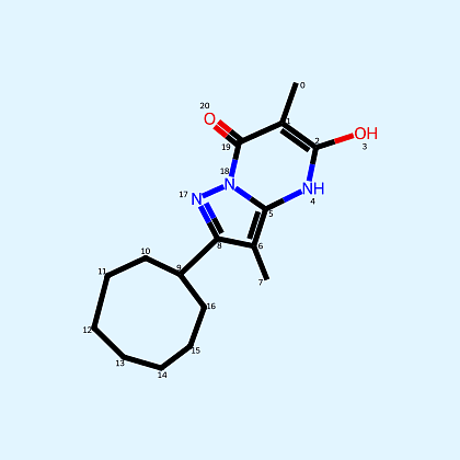 Cc1c(O)[nH]c2c(C)c(C3CCCCCCC3)nn2c1=O